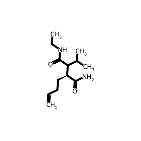 C=CCC[C@H](C(N)=O)C(C(=O)NCC)C(C)C